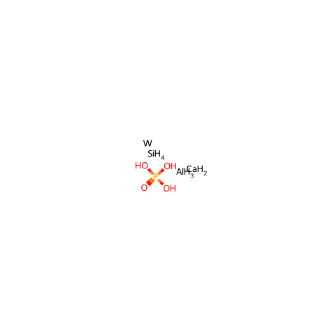 O=P(O)(O)O.[AlH3].[CaH2].[SiH4].[W]